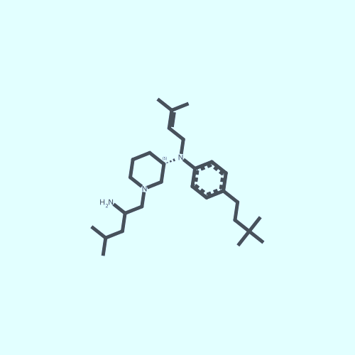 CC(C)=CCN(c1ccc(CCC(C)(C)C)cc1)[C@H]1CCCN(CC(N)CC(C)C)C1